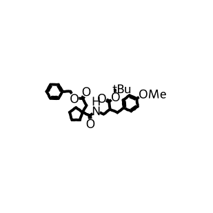 COc1ccc(CC(CNC(=O)C2(CC(=O)OCc3ccccc3)CCCC2)C(=O)OC(C)(C)C)cc1